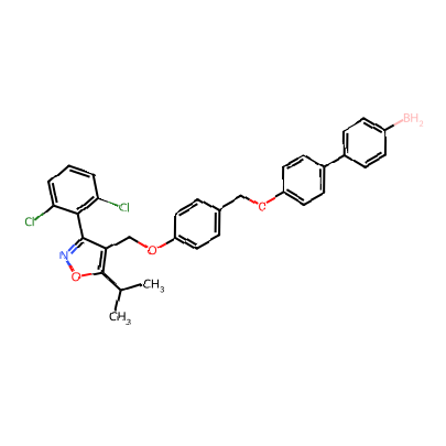 Bc1ccc(-c2ccc(OCc3ccc(OCc4c(-c5c(Cl)cccc5Cl)noc4C(C)C)cc3)cc2)cc1